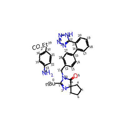 CCCCC1=NC2(CCCC2)C(=O)N1Cc1ccc(-c2ccccc2-c2nnn[nH]2)cc1.CCOC(=O)c1ccc(N)cc1